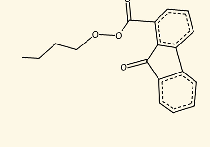 CCCCOOC(=O)c1cccc2c1C(=O)c1ccccc1-2